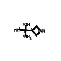 CCCC(N)(O)C1CNC1